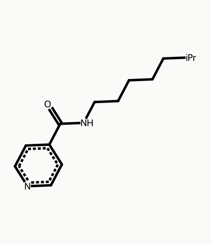 CC(C)CCCCCNC(=O)c1ccncc1